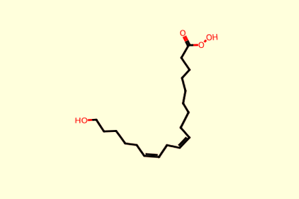 O=C(CCCCCCC/C=C\C/C=C\CCCCCO)OO